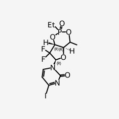 CCP1(=O)OC(C)[C@H]2O[C@@H](n3ccc(I)nc3=O)C(F)(F)[C@@H]2O1